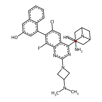 CN(C)C1CN(c2nc(N3CC4CC(C3)N4C(=N)N)c3cc(Cl)c(-c4cc(O)cc5ccccc45)c(F)c3n2)C1